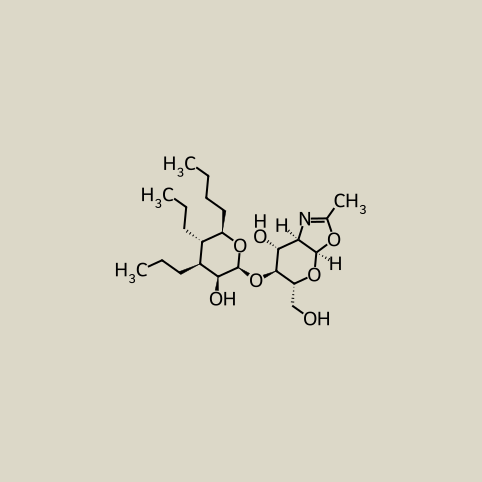 CCCC[C@H]1O[C@@H](O[C@H]2[C@H](O)[C@H]3N=C(C)O[C@H]3O[C@@H]2CO)[C@@H](O)[C@@H](CCC)[C@@H]1CCC